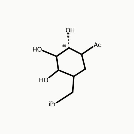 CC(=O)C1CC(CC(C)C)C(O)C(O)[C@@H]1O